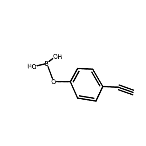 C#Cc1ccc(OB(O)O)cc1